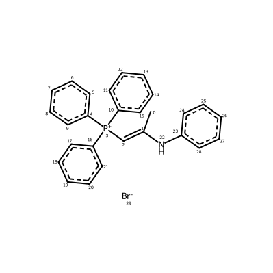 CC(=C[P+](c1ccccc1)(c1ccccc1)c1ccccc1)Nc1ccccc1.[Br-]